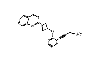 COCC#Cc1nccnc1OC1CN(c2ccc3ccccc3n2)C1